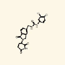 O=C1CCC(N2Cc3cc(CNC(=O)Nc4ccc(Cl)c(Cl)c4)ccc3C2=O)C(=O)N1